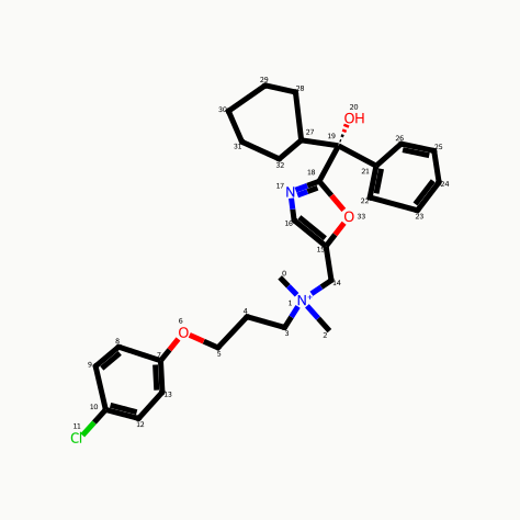 C[N+](C)(CCCOc1ccc(Cl)cc1)Cc1cnc([C@](O)(c2ccccc2)C2CCCCC2)o1